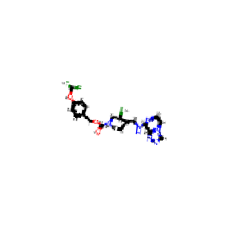 O=C(OCc1ccc(OC(F)F)cc1)N1CCC(CNc2nccn3cnnc23)C(F)C1